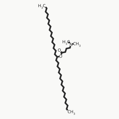 CCCCCCCCCCCCCCCCCCC(CCCCCCCCCCCCCCCCC)OC(=O)CCCN(C)C